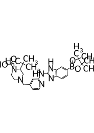 CC(C)(C)C1CN(Cc2ccnc(Nc3nc4ccc(B5OC(C)(C)C(C)(C)O5)cc4[nH]3)c2)CCN1C(=O)O